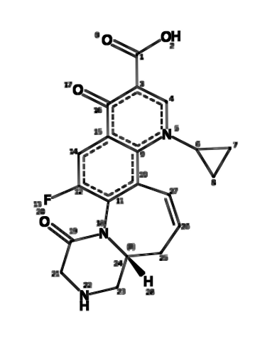 O=C(O)c1cn(C2CC2)c2c3c(c(F)cc2c1=O)N1C(=O)CNC[C@H]1CC=C3